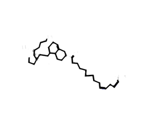 CCCCC/C=C\C/C=C\CCCCCCCCC(=O)[C@H]1CCC2C(=CCCC2CC[C@@]2(C)CCC[C@@H]2[C@H](C)CCCC(C)C)C1